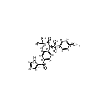 Cc1ccc(S(=O)(=O)N(C(=O)C(F)(F)F)c2ccc(C(=O)c3ccc[nH]3)cc2)cc1